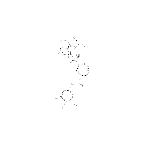 C[C@H](O)[C@H](O)[C@@]1(O)C2CC[C@H]1C[C@H](S(=O)(=O)c1cc(C(=O)Nc3cc(F)c(F)c(F)c3)ccc1Cl)C2